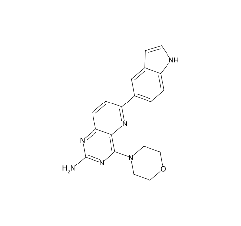 Nc1nc(N2CCOCC2)c2nc(-c3ccc4[nH]ccc4c3)ccc2n1